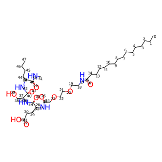 CCCCCCCCCCCCCCCC(=O)NCCOCCOCC(=O)N[C@@H](CCC(=O)O)C(=O)N[C@@H](CO)C(=O)N[C@@H](CCCC)C(=O)NC